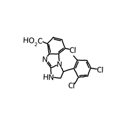 Cc1cc(Cl)cc(Cl)c1C1CNc2nc3c(C(=O)O)ccc(Cl)c3n21